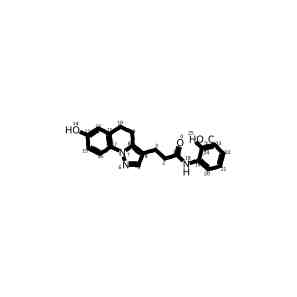 O=C(CCc1cnn2c1CCc1cc(O)ccc1-2)Nc1ccccc1C(=O)O